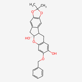 CC1(C)Oc2cc3c(cc2O1)C1Cc2cc(O)c(OCc4ccccc4)cc2O[C@@]1(O)C3